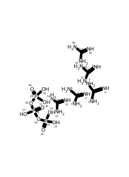 N=C(N)N.N=C(N)N.N=C(N)N.N=C(N)N.N=C(N)N.O=P(O)(O)OP(=O)(O)OP(=O)(O)O